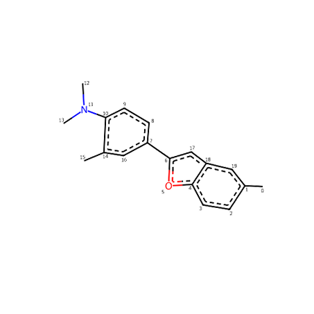 Cc1ccc2oc(-c3ccc(N(C)C)c(C)c3)cc2c1